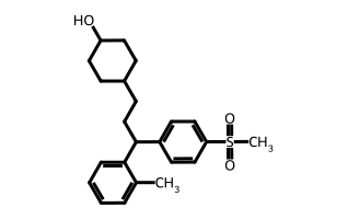 Cc1ccccc1C(CCC1CCC(O)CC1)c1ccc(S(C)(=O)=O)cc1